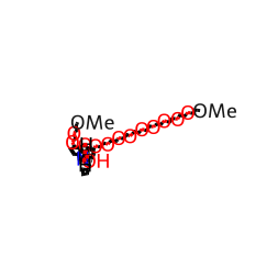 COCCOCCOCCOCCOCCOCCOCCOCCOCCOC1CC[C@@]2(O)[C@H]3Cc4ccc(OCOCCOC)c5c4[C@@]2(CCN3CC2CCC2)[C@H]1O5